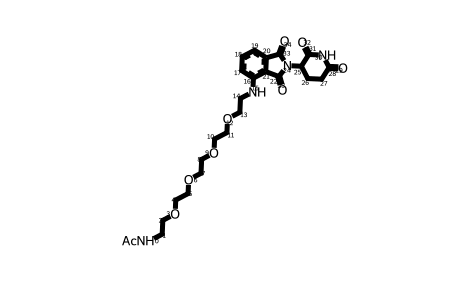 CC(=O)NCCOCCOCCOCCOCCNc1cccc2c1C(=O)N(C1CCC(=O)NC1=O)C2=O